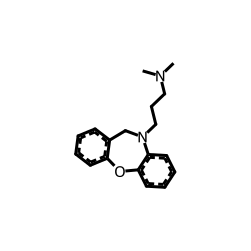 CN(C)CCCN1Cc2ccccc2Oc2ccccc21